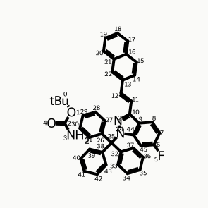 CC(C)(C)OC(N)=O.Fc1ccc2c(/C=C/c3ccc4ccccc4c3)nn(C(c3ccccc3)(c3ccccc3)c3ccccc3)c2c1